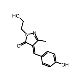 CC1=NN(CCO)C(=O)/C1=C/c1ccc(O)cc1